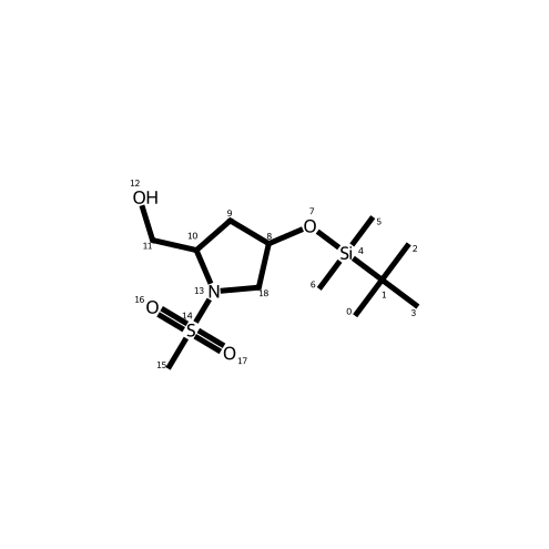 CC(C)(C)[Si](C)(C)OC1CC(CO)N(S(C)(=O)=O)C1